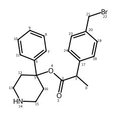 CC(C(=O)OC1(c2ccccc2)CCNCC1)c1ccc(CBr)cc1